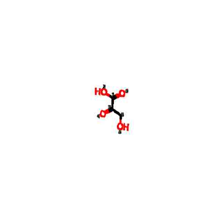 O=C(O)C(=O)CO